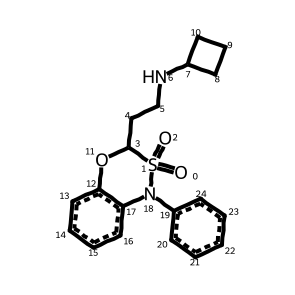 O=S1(=O)C(CCNC2CCC2)Oc2ccccc2N1c1ccccc1